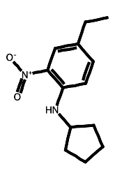 CCc1ccc(NC2CCCC2)c([N+](=O)[O-])c1